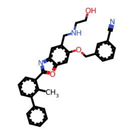 Cc1c(-c2ccccc2)cccc1-c1nc2cc(CNCCO)c(OCc3cccc(C#N)c3)cc2o1